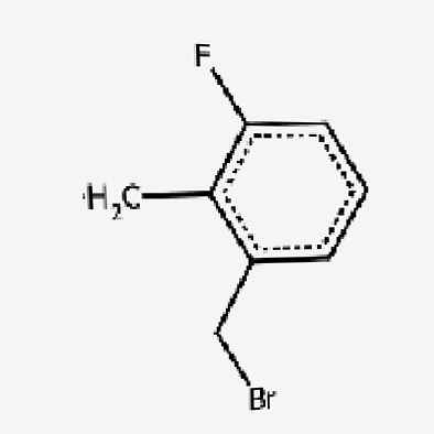 [CH2]c1c(F)cccc1CBr